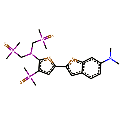 CN(C)c1ccc2cc(-c3cc(P(C)(C)=S)c(P(CP(C)(C)=S)CP(C)(C)=S)s3)sc2c1